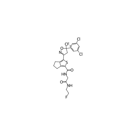 O=C(CNC(=O)c1sc(C2=NOC(c3cc(Cl)cc(Cl)c3)(C(F)(F)F)C2)c2c1CCC2)NCCF